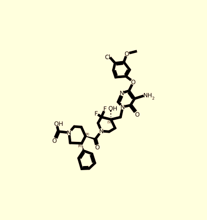 COc1cc(Oc2ncn(C[C@@]3(O)CCN(C(=O)[C@@H]4CCN(C(=O)O)C[C@H]4c4ccccc4)CC3(F)F)c(=O)c2N)ccc1Cl